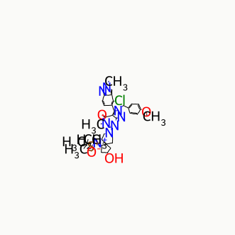 C=[N+]([C@@H]1C[C@@H](O)CC12CCN(c1nc3nn(Cc4ccc(OC)cc4)c(-c4ccc5nn(C)cc5c4Cl)c3c(=O)n1C)CC2)[S+]([O-])C(C)(C)C